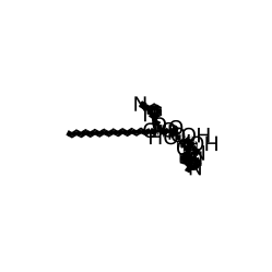 CCCCCCCCCCCCCCCCCCOC[C@H](COP(=O)(O)OC[C@H]1O[C@@](C#N)(c2ccc3c(C)ncnn23)[C@H](O)[C@@H]1O)OCc1cccc(C#N)n1